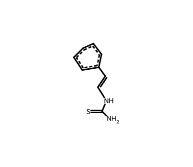 NC(=S)NC=Cc1ccccc1